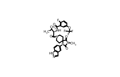 CC(C)[C@@H](NC(=O)c1cc(OC(F)(F)F)ccc1F)C(=O)N1CCC2(CC1)C(=O)N(C)C(=O)N2c1ccc2[nH]ncc2c1